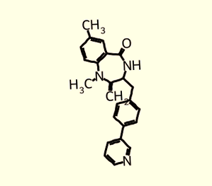 C=C1C(Cc2ccc(-c3cccnc3)cc2)NC(=O)c2cc(C)ccc2N1C